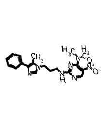 Cc1c(-c2ccccc2)ncn1CCCNc1ncc([N+](=O)[O-])c(N(C)C)n1